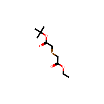 CCOC(=O)CSCC(=O)OC(C)(C)C